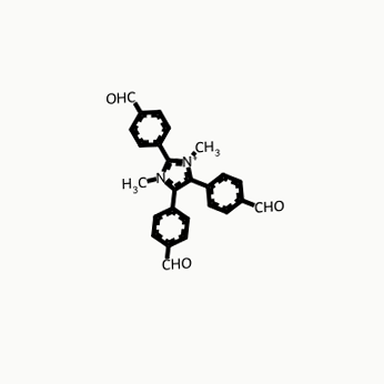 Cn1c(-c2ccc(C=O)cc2)c(-c2ccc(C=O)cc2)[n+](C)c1-c1ccc(C=O)cc1